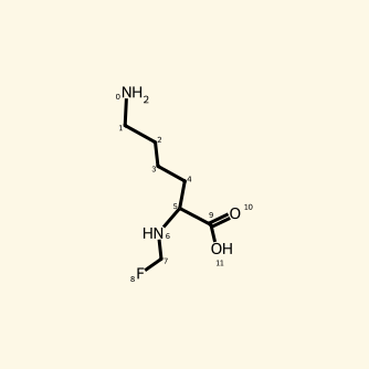 NCCCCC(NCF)C(=O)O